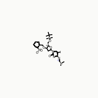 CN(C)/C=N/c1nc(=O)n([C@H]2CC(OCc3ccccc3[N+](=O)[O-])[C@@H](CO[Si](C)(C)C(C)(C)C)O2)cc1I